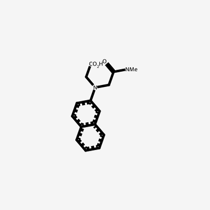 CNC(=O)CN(CC(=O)O)c1ccc2ccccc2c1